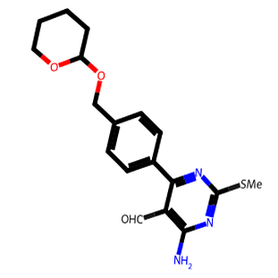 CSc1nc(N)c(C=O)c(-c2ccc(COC3CCCCO3)cc2)n1